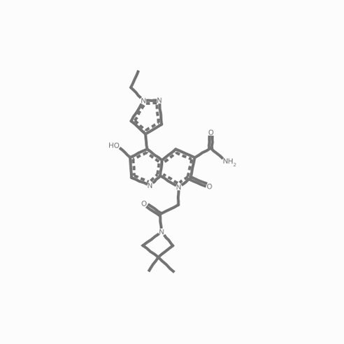 CCn1cc(-c2c(O)cnc3c2cc(C(N)=O)c(=O)n3CC(=O)N2CC(C)(C)C2)cn1